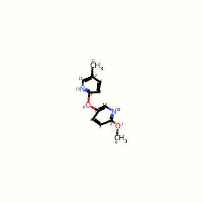 COc1ccc(Oc2ccc(C)cn2)cn1